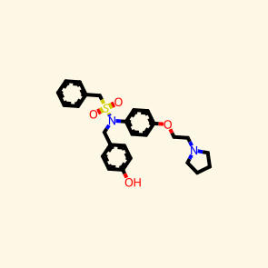 O=S(=O)(Cc1ccccc1)N(Cc1ccc(O)cc1)c1ccc(OCCN2CCCC2)cc1